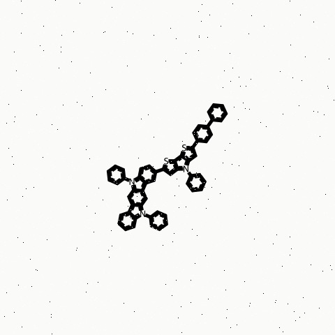 c1ccc(-c2ccc(-c3cc4c(s3)c3sc(-c5ccc6c(c5)c5cc7c(cc5n6-c5ccccc5)c5ccccc5n7-c5ccccc5)cc3n4-c3ccccc3)cc2)cc1